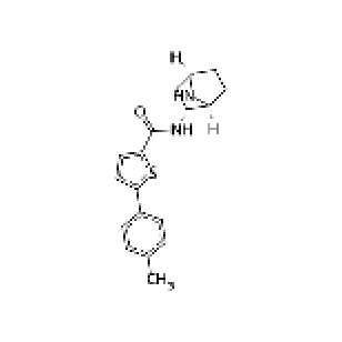 Cc1ccc(-c2ccc(C(=O)N[C@@H]3C[C@H]4CC[C@@H]3N4)s2)cc1